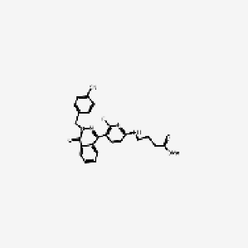 COC(=O)CCCNc1ccc(-c2nn(Cc3ccc(C#N)cc3)c(=O)c3ccccc23)c(F)n1